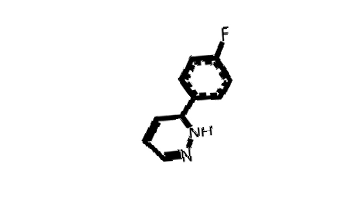 Fc1ccc([C]2C=CC=NN2)cc1